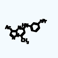 CCCc1cccc(Nc2cc(C)n3ncc(C(C)=O)c3n2)c1